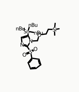 CCC[CH2][Sn]([CH2]CCC)([CH2]CCC)[c]1cnc(S(=O)(=O)c2ccccc2)n1COCC[Si](C)(C)C